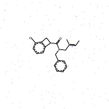 C/C=C(\C)CN(Cc1ccccc1)C(=O)C1Cc2c(Cl)cccc21